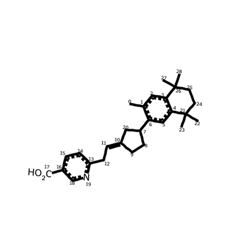 Cc1cc2c(cc1C1CC/C(=C\Cc3ccc(C(=O)O)cn3)C1)C(C)(C)CCC2(C)C